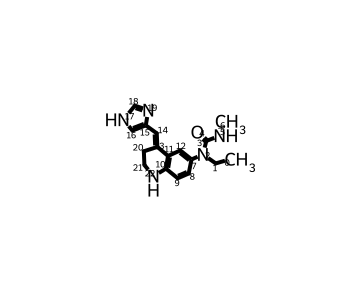 CCN(C(=O)NC)c1ccc2c(c1)/C(=C/c1c[nH]cn1)CCN2